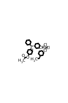 C=Cc1ccccc1.CC(=O)Oc1ccc([PH+](c2ccccc2)c2ccccc2)cc1.[Cl][Fe-]([Cl])([Cl])[Cl]